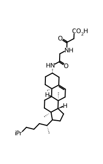 CC(C)CCC[C@@H](C)C1CC[C@H]2[C@]3(C)CC=C4C[C@@H](NC(=O)CNC(=O)CC(=O)O)CC[C@]4(C)[C@H]3CC[C@]12C